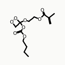 C=C(C)C(=O)OCCOC1(OC(=O)OCCCC)COO1